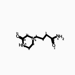 NC(=O)CCCN1CCNC(=O)C1